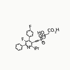 CC(C)c1nc(-c2ccccc2)c(F)c(-c2ccc(F)cc2)c1C#CP(=O)(O)CC(O)CC(=O)O